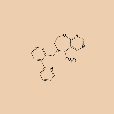 CCOC(=O)C1c2cncnc2OCCN1Cc1ccccc1-c1ccccn1